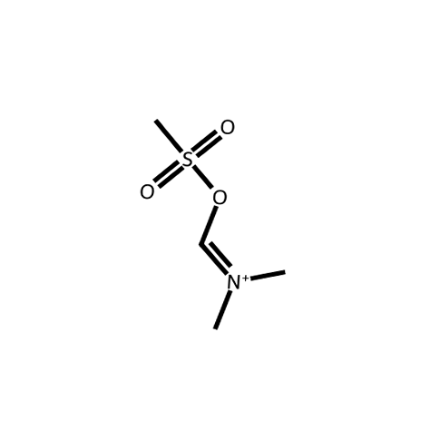 C[N+](C)=COS(C)(=O)=O